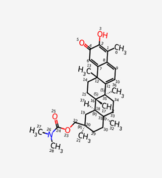 CC1=C(O)C(=O)C=C2C1=CC=C1C2(C)CC[C@@]2(C)[C@@H]3C[C@](C)(COC(=O)N(C)C)CC[C@]3(C)CC[C@]12C